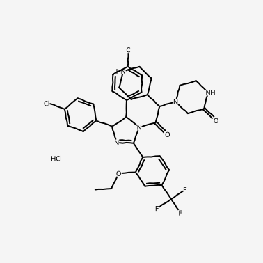 CCOc1cc(C(F)(F)F)ccc1C1=NC(c2ccc(Cl)cc2)C(c2ccc(Cl)cc2)N1C(=O)C(C1CCNCC1)N1CCNC(=O)C1.Cl